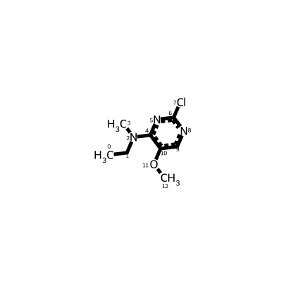 CCN(C)c1nc(Cl)ncc1OC